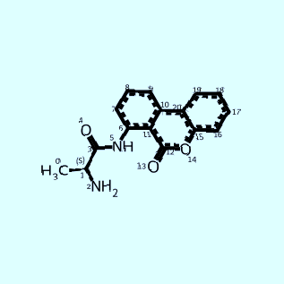 C[C@H](N)C(=O)Nc1cccc2c1c(=O)oc1ccccc12